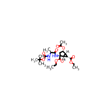 CCOC(=O)[C@H]1[C@H]2[C@@H]1[C@](NC(=O)[C@H](C)NC(=O)OC(C)(C)C)(C(=O)OCC)C[C@@H]2OC(C)=O